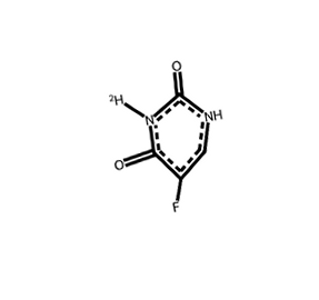 [2H]n1c(=O)[nH]cc(F)c1=O